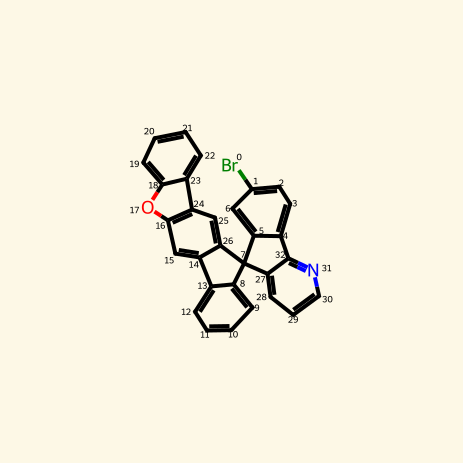 Brc1ccc2c(c1)C1(c3ccccc3-c3cc4oc5ccccc5c4cc31)c1cccnc1-2